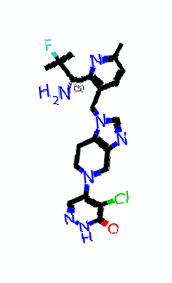 Cc1ccc(Cn2cnc3c2CCN(c2cn[nH]c(=O)c2Cl)C3)c([C@H](N)C(C)(C)F)n1